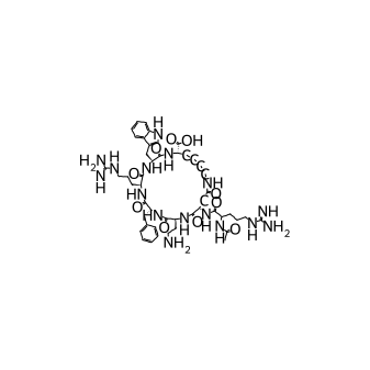 CC(=O)NC(CCCNC(=N)N)C(=O)N[C@H]1CC(=O)NCCCC[C@@H](C(=O)O)NC(=O)[C@H](Cc2c[nH]c3ccccc23)NC(=O)[C@H](CCCNC(=N)N)NC(=O)[C@@H](Cc2ccccc2)NC(=O)[C@H](CCN)NC1=O